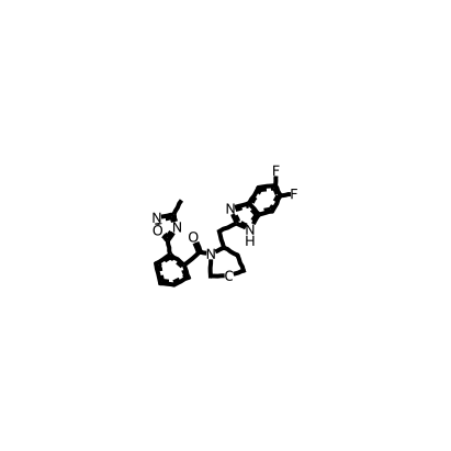 Cc1noc(-c2ccccc2C(=O)N2CCCCC2Cc2nc3cc(F)c(F)cc3[nH]2)n1